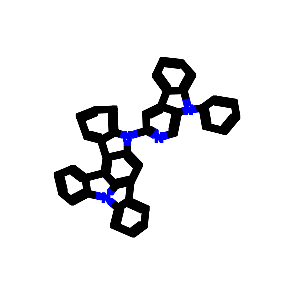 c1ccc(-n2c3ccccc3c3cc(-n4c5ccccc5c5c6c7ccccc7n7c8ccccc8c(cc54)c67)ncc32)cc1